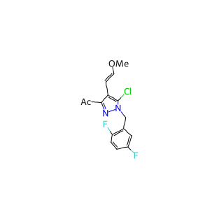 COC=Cc1c(C(C)=O)nn(Cc2cc(F)ccc2F)c1Cl